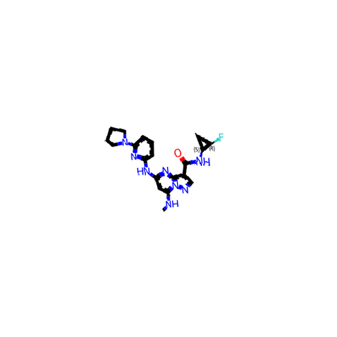 CNc1cc(Nc2cccc(N3CCCC3)n2)nc2c(C(=O)N[C@H]3C[C@H]3F)cnn12